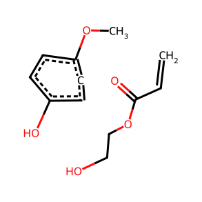 C=CC(=O)OCCO.COc1ccc(O)cc1